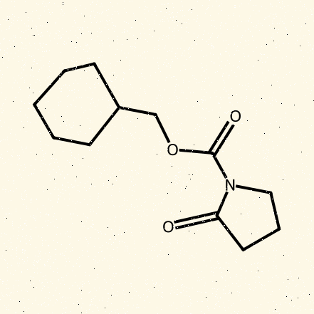 O=C1CCCN1C(=O)OCC1CCCCC1